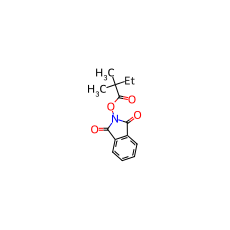 CCC(C)(C)C(=O)ON1C(=O)c2ccccc2C1=O